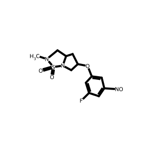 CN1CC2CC(Oc3cc(F)cc(N=O)c3)CN2S1(=O)=O